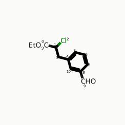 CCOC(=O)C(Cl)Cc1cccc(C=O)c1